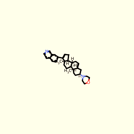 C[C@]12CC[C@H](N3CCOCC3)CC1=CC[C@@H]1[C@@H]2CC[C@]2(C)C(c3ccc4ccncc4c3)=CC[C@@H]12